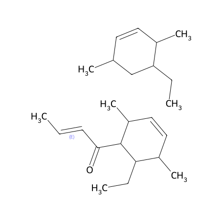 C/C=C/C(=O)C1C(C)C=CC(C)C1CC.CCC1CC(C)C=CC1C